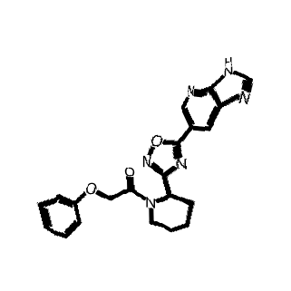 O=C(COc1ccccc1)N1CCCCC1c1noc(-c2cnc3[nH]cnc3c2)n1